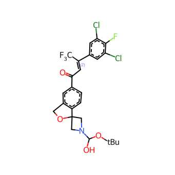 CC(C)(C)OC(O)N1CC2(C1)OCc1cc(C(=O)/C=C(/c3cc(Cl)c(F)c(Cl)c3)C(F)(F)F)ccc12